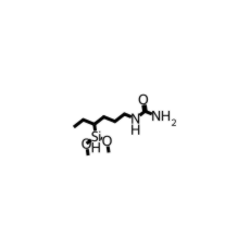 CCC(CCCNC(N)=O)[SiH](OC)OC